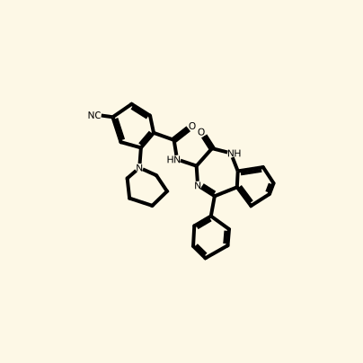 N#Cc1ccc(C(=O)NC2N=C(c3ccccc3)c3ccccc3NC2=O)c(N2CCCCC2)c1